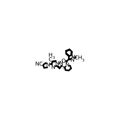 Cc1cn2nc([C@@H]3CCCCN3C(=O)c3nn(C)c4ccccc34)cc2nc1N1CCC(C#N)C1